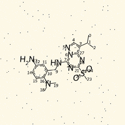 CC(C)c1cnn2c(NCc3cc(N)ccc3N(C)C)nc(S(C)(=O)=O)nc12